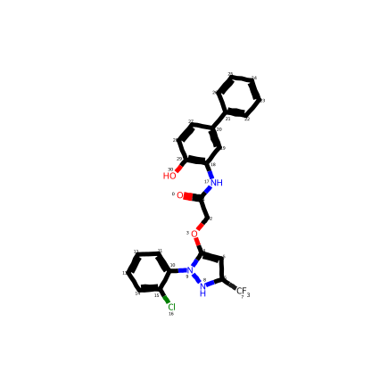 O=C(COC1=CC(C(F)(F)F)NN1c1ccccc1Cl)Nc1cc(-c2ccccc2)ccc1O